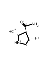 Cl.NC(=O)[C@H]1CNC[C@H]1F